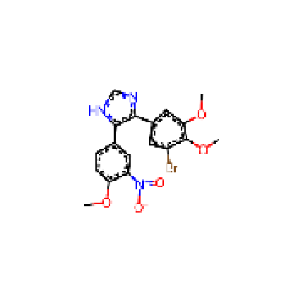 COc1ccc(-c2[nH]cnc2-c2cc(Br)c(OC)c(OC)c2)cc1[N+](=O)[O-]